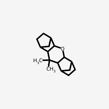 CC1(C)C2C3CCC(C3)C2OC2C3CCC(C3)C21